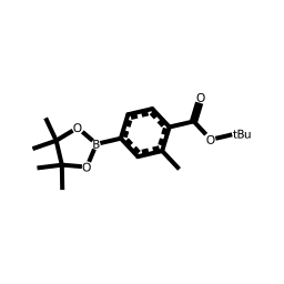 Cc1cc(B2OC(C)(C)C(C)(C)O2)ccc1C(=O)OC(C)(C)C